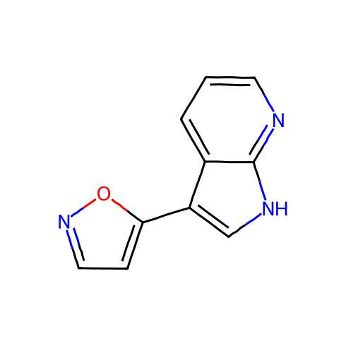 c1cnc2[nH]cc(-c3ccno3)c2c1